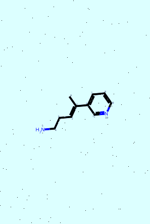 CC(=CCCN)c1cccnc1